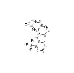 FC(F)(F)c1ccccc1CN1CCOc2cnc(Cl)nc21